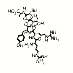 CC[C@H](C)[C@H](NC(=O)[C@@H](NC(=O)[C@H](Cc1ccc(O)cc1)NC(=O)[C@H](CCCNC(=N)N)NC(=O)[C@@H](N)CCCNC(=N)N)[C@@H](C)O)C(=O)N[C@@H](C)C(=O)O